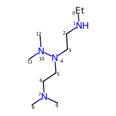 CCNCCN(CCN(C)C)N(C)C